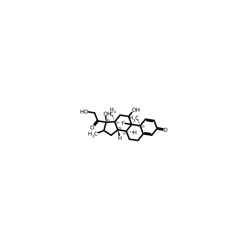 CC1C[C@H]2[C@@H]3CCC4=CC(=O)C=C[C@]4(C)C3(F)C(O)C[C@]2(C)[C@@]1(O)C(=O)CO